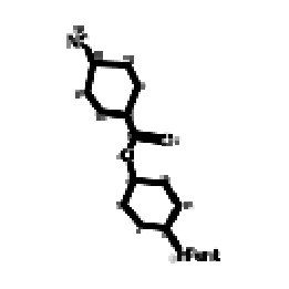 CCCCCC1CCC(OC(=O)C2CCC(C#N)CC2)CC1